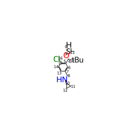 C[SiH](C)OC(c1cc(CNC2CC2)ccc1Cl)C(C)(C)C